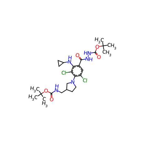 CC(C)(C)OC(=O)NCC1CCN(c2c(Cl)cc(C(=O)NNC(=O)OC(C)(C)C)c(NC3CC3)c2Cl)C1